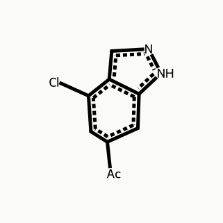 CC(=O)c1cc(Cl)c2cn[nH]c2c1